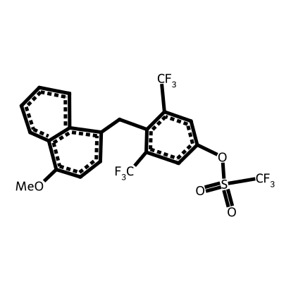 COc1ccc(Cc2c(C(F)(F)F)cc(OS(=O)(=O)C(F)(F)F)cc2C(F)(F)F)c2ccccc12